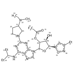 CCc1cc([C@H]2OC(n3cnc4c(NC(CC)CC)nc(N5CCC(N(C)C)C5)nc43)C(OC(=O)C(F)(F)F)[C@H]2O)on1